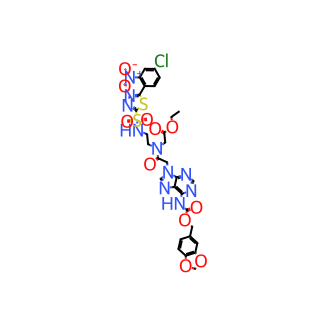 CCOC(=O)CN(CCNS(=O)(=O)c1nnc(-c2ccc(Cl)cc2[N+](=O)[O-])s1)C(=O)Cn1cnc2c(NC(=O)OCc3ccc4c(c3)OCO4)ncnc21